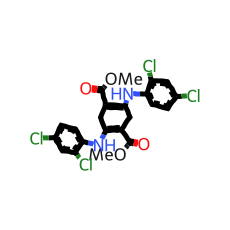 COC(=O)C1=C(Nc2ccc(Cl)cc2Cl)CC(C(=O)OC)=C(Nc2ccc(Cl)cc2Cl)C1